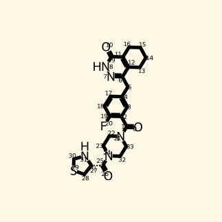 O=C(c1cc(Cc2n[nH]c(=O)c3c2CCCC3)ccc1F)N1CCN(C(=O)[C@@H]2CSCN2)CC1